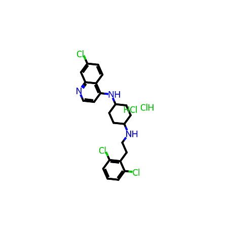 Cl.Cl.Clc1ccc2c(NC3CCC(NCCc4c(Cl)cccc4Cl)CC3)ccnc2c1